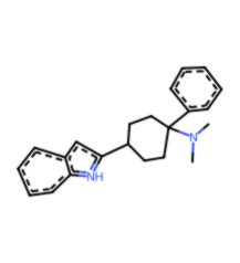 CN(C)C1(c2ccccc2)CCC(c2cc3ccccc3[nH]2)CC1